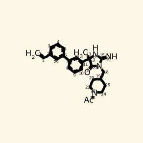 C=Cc1cccc(-c2cccc(C3(C)NC(=N)N(CC4CCN(C(C)=O)CC4)C3=O)c2)c1